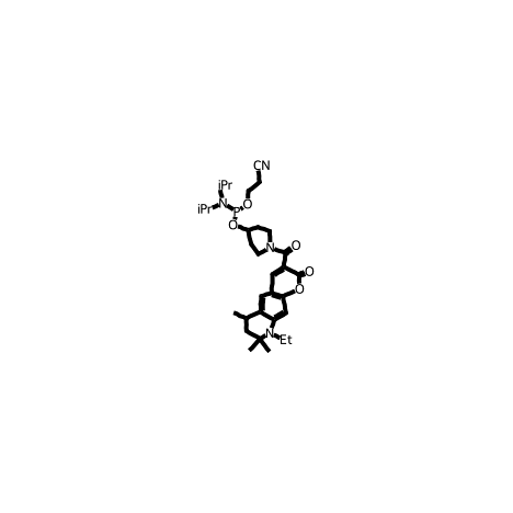 CCN1c2cc3oc(=O)c(C(=O)N4CCC(OP(OCCC#N)N(C(C)C)C(C)C)CC4)cc3cc2C(C)CC1(C)C